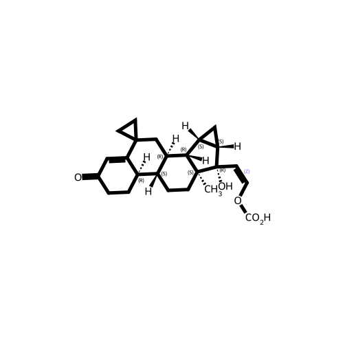 C[C@]12CC[C@H]3[C@@H](CC4(CC4)C4=CC(=O)CC[C@@H]43)[C@@H]1[C@@H]1C[C@@H]1[C@@]2(O)/C=C\OC(=O)O